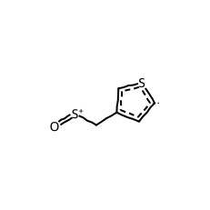 O=[S+]Cc1c[c]sc1